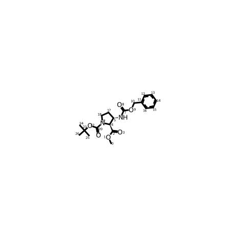 COC(=O)[C@@H]1[C@@H](NC(=O)OCc2ccccc2)CCN1C(=O)OC(C)(C)C